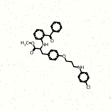 COC(=O)C(Cc1ccc(OCCCNc2ccc(Cl)cc2)cc1)Nc1ccccc1C(=O)c1ccccc1